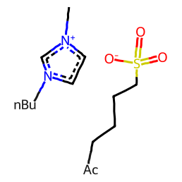 CC(=O)CCCCS(=O)(=O)[O-].CCCCn1cc[n+](C)c1